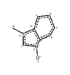 Cn1c[n+]([O-])c2ccccc21